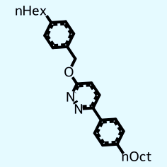 CCCCCCCCc1ccc(-c2ccc(OCc3ccc(CCCCCC)cc3)nn2)cc1